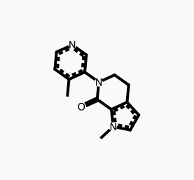 Cc1ccncc1N1CCc2ccn(C)c2C1=O